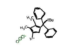 CC1=[C]([Ti+3])CC(C(c2ccccc2)(c2ccccc2)C(C)(C)C)=C1C.[Cl-].[Cl-].[Cl-]